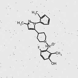 Cc1cc(C2CCN([NH+]([O-])c3c(F)ccc(O)c3C)CC2)n(-c2ccccc2C)n1